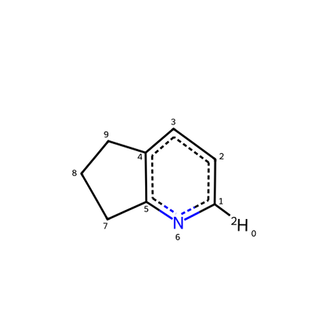 [2H]c1ccc2c(n1)CCC2